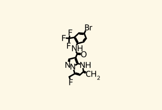 C=C1C=C(CF)n2ncc(C(=O)Nc3ccc(Br)cc3C(F)(F)F)c2N1